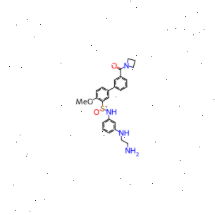 COc1ccc(-c2cccc(C(=O)N3CCC3)c2)cc1[S+]([O-])Nc1cccc(NCCN)c1